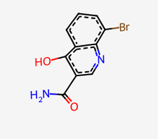 NC(=O)c1cnc2c(Br)cccc2c1O